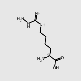 N=C(NN)NCCCC[C@H](N)C(=O)O